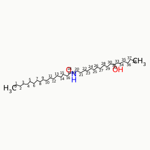 CCCCCCCCCCCCCCCCCC(=O)NCCCCCCCCCCCC(O)CCCCCC